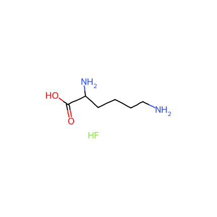 F.NCCCCC(N)C(=O)O